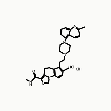 CNC(=O)c1ncn2c1CCc1c-2ccc(C)c1CCN1CCN(c2cccc3nc(C)ccc23)CC1.Cl.Cl